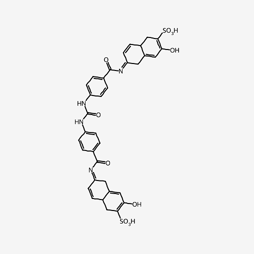 O=C(Nc1ccc(C(=O)N=C2C=CC3CC(S(=O)(=O)O)=C(O)C=C3C2)cc1)Nc1ccc(C(=O)N=C2C=CC3CC(S(=O)(=O)O)=C(O)C=C3C2)cc1